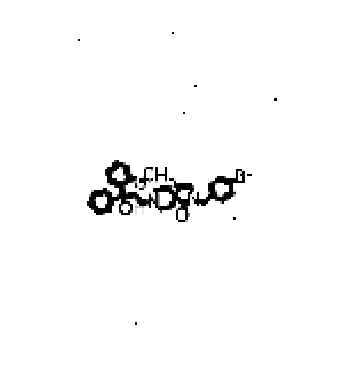 COc1ccccc1C(O)(CCN1CCC2(CC1)CCN(Cc1ccc(Br)cc1)C2=O)c1ccccc1